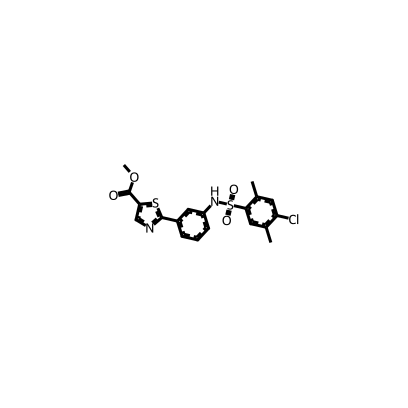 COC(=O)c1cnc(-c2cccc(NS(=O)(=O)c3cc(C)c(Cl)cc3C)c2)s1